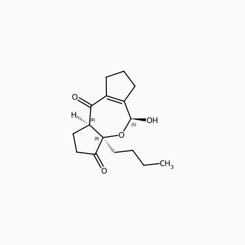 CCCC[C@@]12O[C@H](O)C3=C(CCC3)C(=O)[C@@H]1CCC2=O